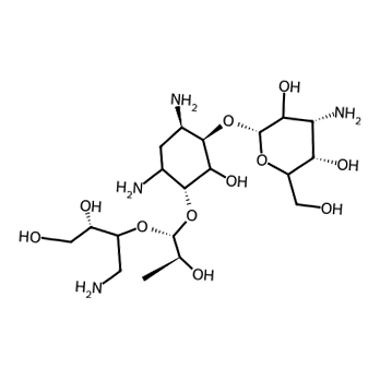 C[C@H](O)[C@H](OC(CN)[C@@H](O)CO)O[C@@H]1C(N)C[C@@H](N)[C@@H](O[C@H]2OC(CO)[C@@H](O)[C@@H](N)C2O)C1O